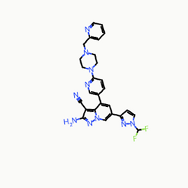 N#Cc1c(N)nn2cc(-c3ccn(C(F)F)n3)cc(-c3ccc(N4CCN(Cc5ccccn5)CC4)nc3)c12